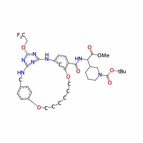 COC(=O)C(NC(=O)c1ccc2cc1OCCCCCCOc1ccc(cc1)CNc1nc(nc(OCC(F)(F)F)n1)N2)C1CCCN(C(=O)OC(C)(C)C)C1